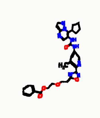 Cc1cc(NC(=O)Nc2cnc3ccnn3c2C2CCCC2)cnc1-c1noc(CCOCCOC(=O)c2ccccc2)n1